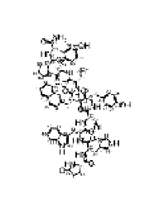 CC(C)C[C@H](NC(=O)[C@@H](Cc1ccc2ccccc2c1)NC(=O)[C@H](Cc1ccc(O)cc1)NC(=O)[C@H](CO)NC(=O)[C@H](Cc1c[nH]c2ccccc12)NC(=O)[C@H](Cc1c[nH]cn1)NC(=O)[C@@H]1CCC(=O)N1)C(=O)N[C@@H](Cc1ccc(O)cc1)C(=O)N1CCC[C@H]1C(=O)NCC(N)=O